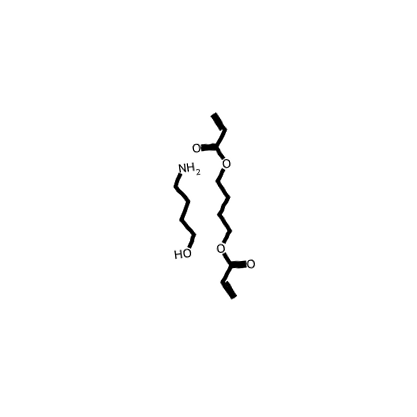 C=CC(=O)OCCCCOC(=O)C=C.NCCCCO